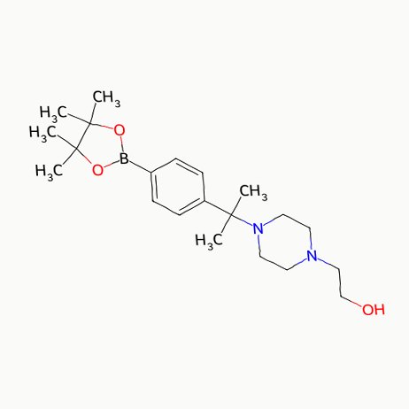 CC(C)(c1ccc(B2OC(C)(C)C(C)(C)O2)cc1)N1CCN(CCO)CC1